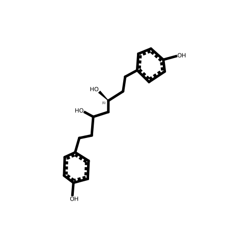 Oc1ccc(CCC(O)C[C@@H](O)CCc2ccc(O)cc2)cc1